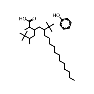 CCCCCCCCCCCCC(CC(CC(C)C(C)(C)C)C(C)C(=O)O)C(C)(C)C.Oc1ccccc1